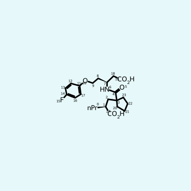 CCC[C@@H](CC1(C(=O)N[C@@H](CCOc2ccc(F)cc2)CC(=O)O)CCCC1)C(=O)O